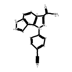 N#Cc1ccc(-n2nc(C(N)=O)c3ccc4c(c32)C=N[N]4)cc1